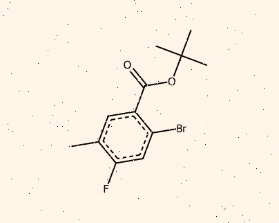 Cc1cc(C(=O)OC(C)(C)C)c(Br)cc1F